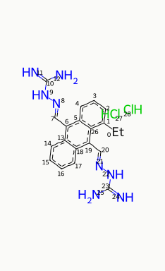 CCc1cccc2c(C=NNC(=N)N)c3ccccc3c(C=NNC(=N)N)c12.Cl.Cl